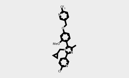 COc1cc(OCc2ccc(C(F)(F)F)nc2)ccc1-c1c(C)nc(-c2ccc(Cl)nc2)n1CC1CC1